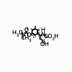 CN(C)C(=O)Oc1cccc([C@H](CCO)NC(=O)O)c1